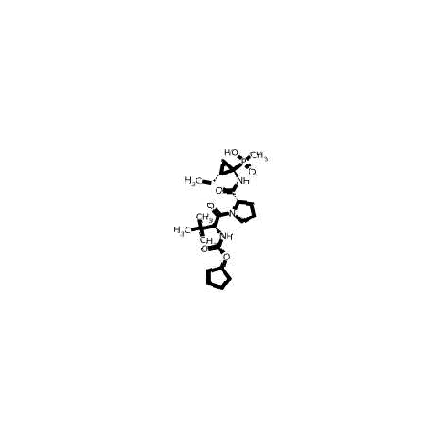 CC[C@@H]1C[C@]1(NC(=O)[C@@H]1CCCN1C(=O)[C@@H](NC(=O)OC1CCCC1)C(C)(C)C)P(C)(=O)O